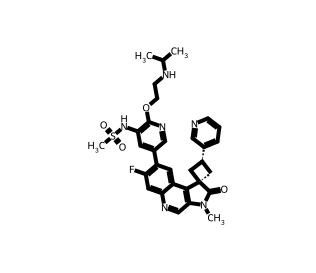 CC(C)NCCOc1ncc(-c2cc3c(cc2F)ncc2c3[C@]3(C[C@@H](c4cccnc4)C3)C(=O)N2C)cc1NS(C)(=O)=O